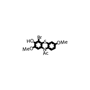 COc1ccc2c(c1)Sc1c(cc(OC)c(O)c1Br)N2C(C)=O